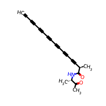 C#CC#CC#CC#CC#CC#CC#C[C@@H](C)C(=O)N[C@@H](C)C(C)=O